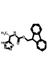 C[C@H](NC(=O)OCC1c2ccccc2-c2ccccc21)c1nnn[nH]1